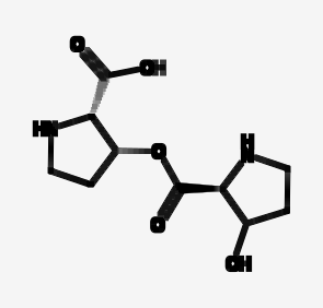 O=C(OC1CCN[C@@H]1C(=O)O)[C@H]1NCCC1O